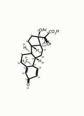 CC(=O)O[C@]1(C(=O)C(=O)O)CC[C@H]2[C@@H]3CCC4=CC(=O)C=C[C@]4(C)[C@H]3CC[C@@]21C